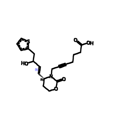 O=C(O)CCCC#CCN1C(=O)OCC[C@@H]1/C=C/C(O)Cc1cccs1